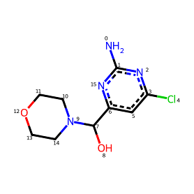 Nc1nc(Cl)cc(C(O)N2CCOCC2)n1